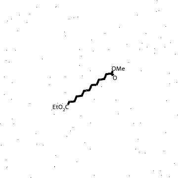 CCOC(=O)CCCCCCCCCCCC(=O)OC